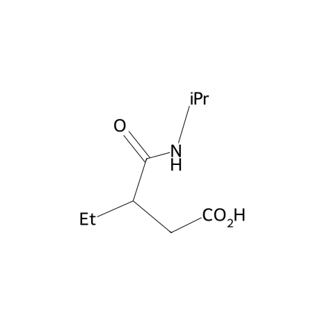 CCC(CC(=O)O)C(=O)NC(C)C